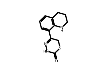 O=C1NN=C(c2cccc3c2NCCC3)CS1